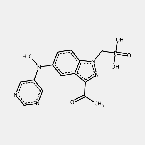 CC(=O)c1nn(CP(=O)(O)O)c2ccc(N(C)c3cncnc3)cc12